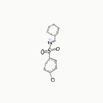 O=S(=O)(/N=C/c1ccccc1)c1ccc(Cl)cc1